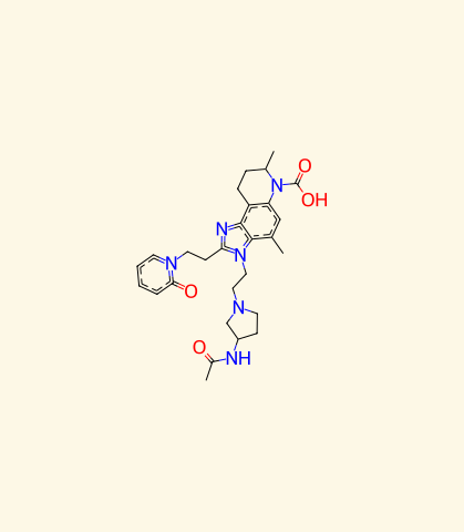 CC(=O)NC1CCN(CCn2c(CCn3ccccc3=O)nc3c4c(cc(C)c32)N(C(=O)O)C(C)CC4)C1